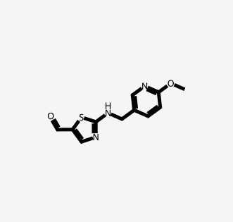 COc1ccc(CNc2ncc(C=O)s2)cn1